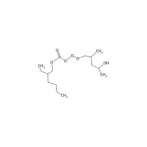 CCCCC(CC)COC(=O)OOOCC(C)CC(C)O